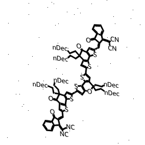 [C-]#[N+]C([N+]#[C-])=C1/C(=C/c2cc3c(s2)-c2sc(-c4cc5c(s4)-c4sc(-c6cc7c(s6)-c6sc(/C=C8\C(=O)c9ccccc9C8=C(C#N)C#N)cc6C(=O)C7(CCCCCCCCCCCC)CCCCCCCCCCCC)cc4C(CCCCCCCCCCCC)(CCCCCCCCCCCC)O5)cc2C(CCCCCCCCCCCC)(CCCCCCCCCCCC)C3=O)C(=O)c2ccccc21